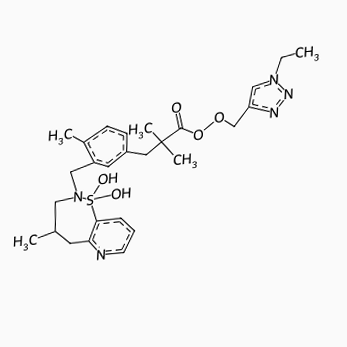 CCn1cc(COOC(=O)C(C)(C)Cc2ccc(C)c(CN3CC(C)Cc4ncccc4S3(O)O)c2)nn1